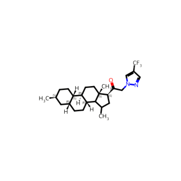 CC1C[C@H](C(=O)Cn2cc(C(F)(F)F)cn2)[C@@]2(C)CC[C@@H]3[C@H]4CC[C@H](C)C[C@H]4CC[C@H]3C12